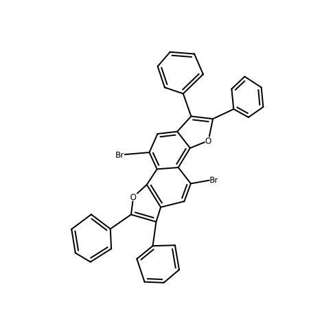 Brc1cc2c(-c3ccccc3)c(-c3ccccc3)oc2c2c(Br)cc3c(-c4ccccc4)c(-c4ccccc4)oc3c12